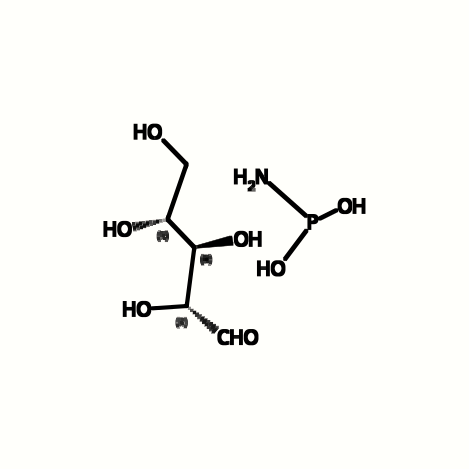 NP(O)O.O=C[C@H](O)[C@H](O)[C@H](O)CO